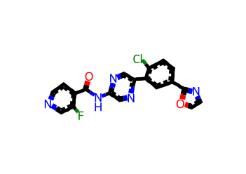 O=C(Nc1cnc(-c2cc(-c3ncco3)ccc2Cl)cn1)c1ccncc1F